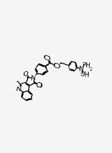 Cc1nc2ccccc2c2c1C(=O)N(c1ccc(C(=O)OCc3ccc(N(O)P)cc3)cc1)C2=O